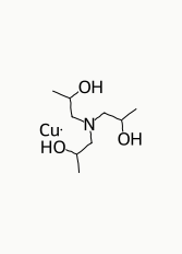 CC(O)CN(CC(C)O)CC(C)O.[Cu]